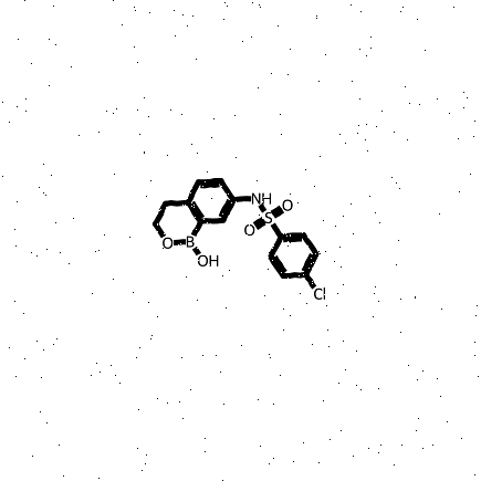 O=S(=O)(Nc1ccc2c(c1)B(O)OCC2)c1ccc(Cl)cc1